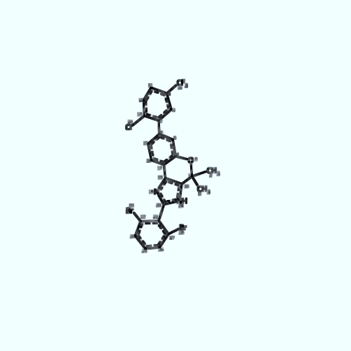 CC1(C)Oc2cc(-c3cc(C(F)(F)F)ccc3Cl)ccc2-c2nc(-c3c(Br)cccc3Br)[nH]c21